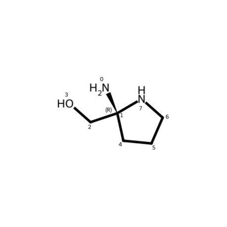 N[C@]1(CO)CCCN1